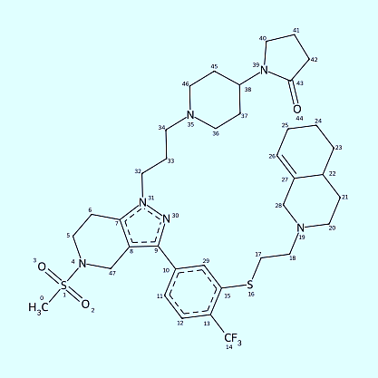 CS(=O)(=O)N1CCc2c(c(-c3ccc(C(F)(F)F)c(SCCN4CCC5CCCC=C5C4)c3)nn2CCCN2CCC(N3CCCC3=O)CC2)C1